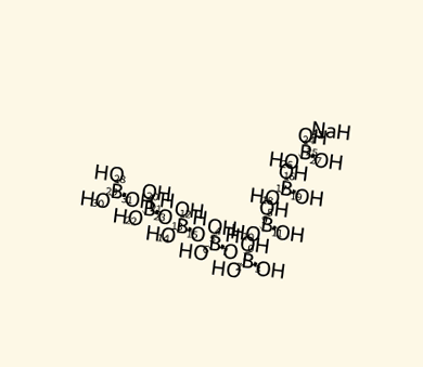 OB(O)O.OB(O)O.OB(O)O.OB(O)O.OB(O)O.OB(O)O.OB(O)O.OB(O)O.[NaH]